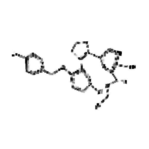 CCOC(=O)c1cc(C2=C(c3cc(Cl)ccc3OCc3ccc(Cl)cc3)CCC2)cnc1C